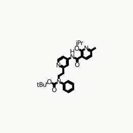 Cc1ccc(C(=O)Nc2ccnc(CCN(C(=O)OC(C)(C)C)c3ccccc3)c2)c(OC(C)C)n1